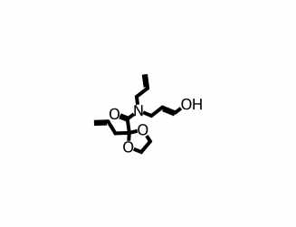 C=CCN(CC=CO)C(=O)C1(CC=C)OCCO1